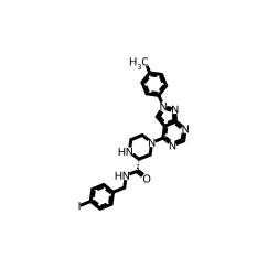 Cc1ccc(-n2cc3c(N4CCN[C@@H](C(=O)NCc5ccc(I)cc5)C4)ncnc3n2)cc1